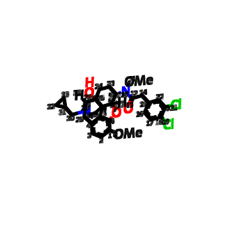 COc1ccc2c3c1O[C@H]1[C@@H](N(OC)C(=O)Cc4ccc(Cl)c(Cl)c4)CC[C@@]4(O)[C@@H](C2)N(CC2CC2)CC[C@]314